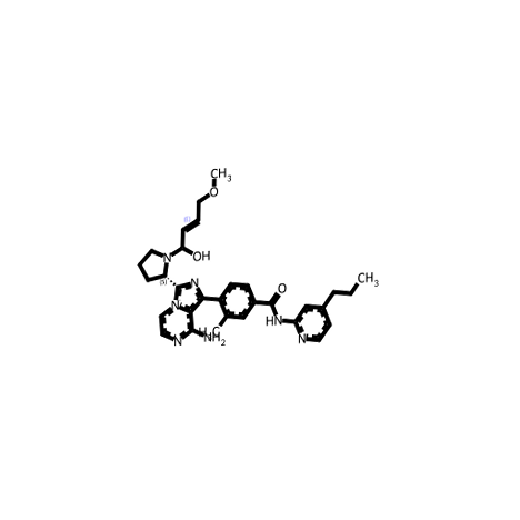 CCCc1ccnc(NC(=O)c2ccc(-c3nc([C@@H]4CCCN4C(O)/C=C/COC)n4ccnc(N)c34)c(C)c2)c1